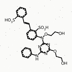 O=S(=O)(O)c1ccccc1C=Cc1cccc(N(OCCO)c2nc(Nc3ccccc3)nc(OCCO)n2)c1S(=O)(=O)O